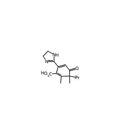 CC1=C(C(=O)O)C(C2=NCCN2)=CC(=O)C1(C)C(C)C